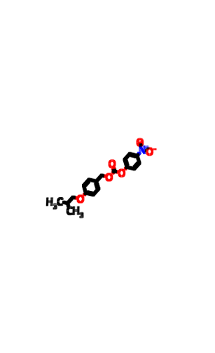 CC(C)COc1ccc(COC(=O)Oc2ccc([N+](=O)[O-])cc2)cc1